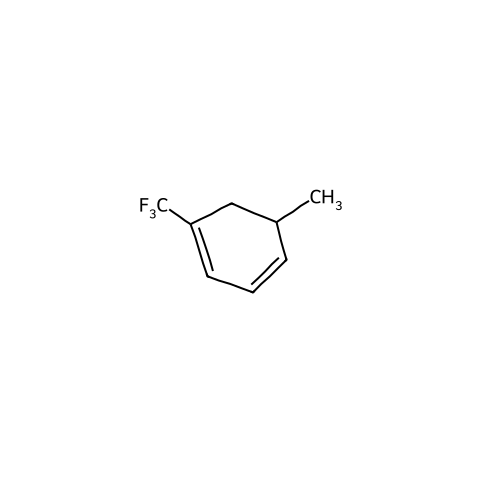 CC1C=CC=C(C(F)(F)F)C1